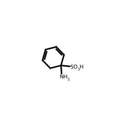 NC1(S(=O)(=O)O)[CH]C=C[C]=C1